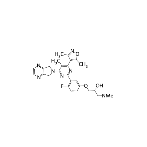 CNC[C@@H](O)COc1ccc(F)c(-c2nc(-c3c(C)noc3C)c(C)c(N3Cc4nccnc4C3)n2)c1